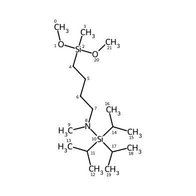 CO[Si](C)(CCCCN(C)[Si](C(C)C)(C(C)C)C(C)C)OC